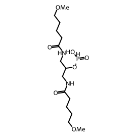 COCCCCC(=O)NCC(CNC(=O)CCCCOC)O[PH](=O)O